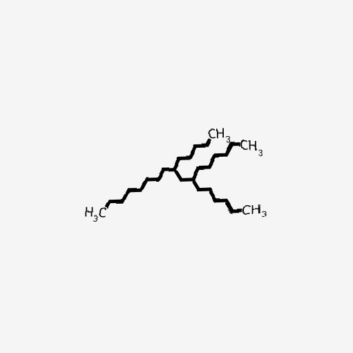 CCCCCCCCC(CCCCC)CC(CCCCCC)CCCCCC